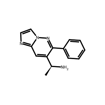 C[C@H](N)c1cc2nccn2nc1-c1ccccc1